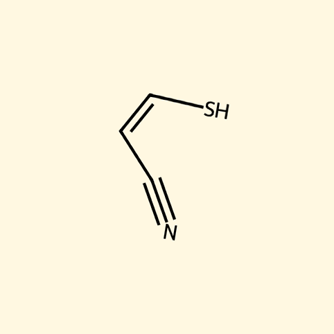 N#C/C=C\S